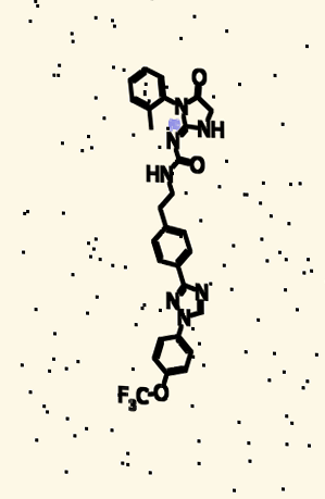 Cc1ccccc1N1C(=O)CN/C1=N\C(=O)NCCc1ccc(-c2ncn(-c3ccc(OC(F)(F)F)cc3)n2)cc1